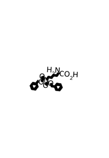 N[C@@H](CCCCN(C(=O)OCc1ccccc1)C(=O)OCc1ccccc1)C(=O)O